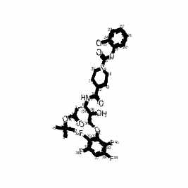 CC(C)(C)OC(=O)C[C@H](NC(=O)C1CCN(C(=O)Oc2ccccc2Cl)CC1)C(O)COc1c(F)c(F)cc(F)c1F